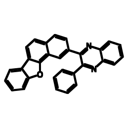 c1ccc(-c2nc3ccccc3nc2-c2ccc3ccc4c5ccccc5oc4c3c2)cc1